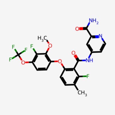 COc1c(Oc2ccc(C)c(F)c2C(=O)Nc2ccnc(C(N)=O)c2)ccc(OC(F)(F)F)c1F